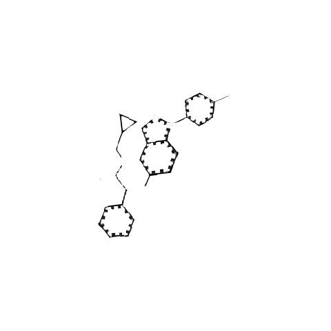 C[C@H](NCC1CC1)[C@H](Oc1ccc2c(cnn2-c2ccc(F)cc2)c1)c1ccccc1